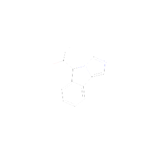 CC(C)C(O)C1c2ccccc2-c2cncn21